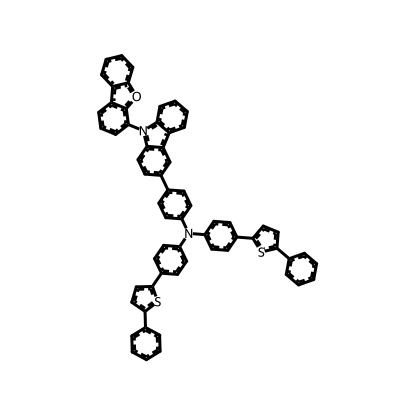 c1ccc(-c2ccc(-c3ccc(N(c4ccc(-c5ccc6c(c5)c5ccccc5n6-c5cccc6c5oc5ccccc56)cc4)c4ccc(-c5ccc(-c6ccccc6)s5)cc4)cc3)s2)cc1